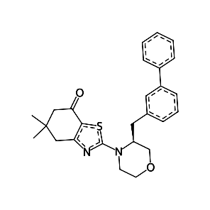 CC1(C)CC(=O)c2sc(N3CCOC[C@@H]3Cc3cccc(-c4ccccc4)c3)nc2C1